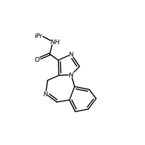 CC(C)NC(=O)c1ncn2c1CN=Cc1ccccc1-2